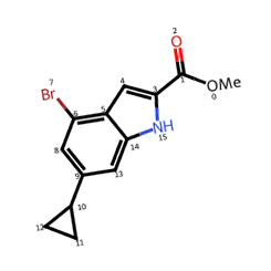 COC(=O)c1cc2c(Br)cc(C3CC3)cc2[nH]1